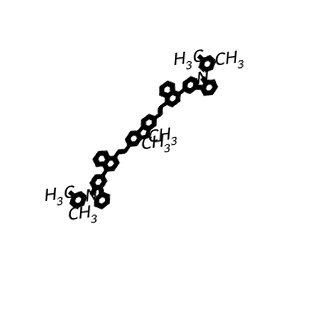 Cc1cc(C)cc(-n2c3ccccc3c3cc(-c4ccc(/C=C/c5ccc6c(c5)C(C)(C)c5cc(/C=C/c7ccc(-c8ccc9c(c8)c8ccccc8n9-c8cc(C)cc(C)c8)c8ccccc78)ccc5-6)c5ccccc45)ccc32)c1